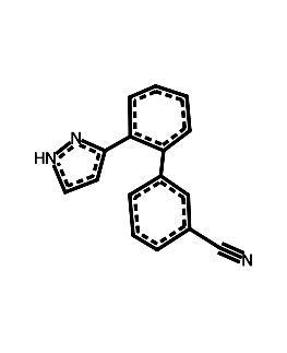 N#Cc1cccc(-c2ccccc2-c2cc[nH]n2)c1